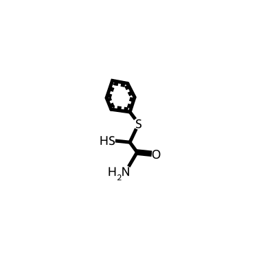 NC(=O)C(S)Sc1ccccc1